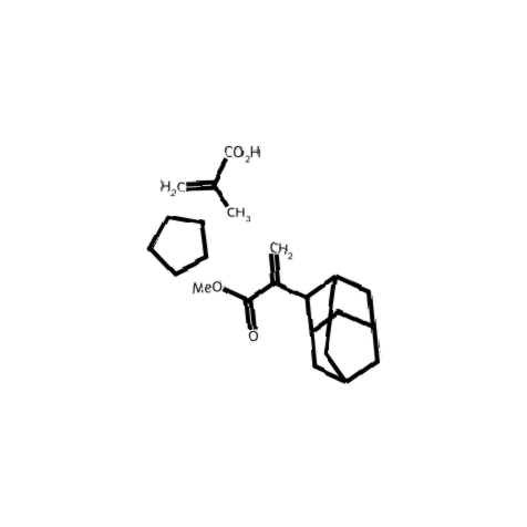 C1CCCC1.C=C(C(=O)OC)C1C2CC3CC(C2)CC1C3.C=C(C)C(=O)O